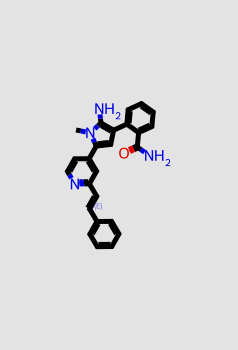 Cn1c(-c2ccnc(/C=C/c3ccccc3)c2)cc(-c2ccccc2C(N)=O)c1N